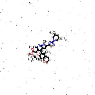 Cc1nc2c(cc(-c3nc(N4C[C@H](C)C[C@H](C)C4)ns3)n2C)c(-c2cc(F)c3c(c2C)CCCO3)c1[C@H](OC(C)(C)C)C(=O)O